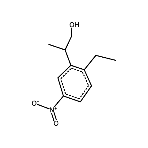 CCc1ccc([N+](=O)[O-])cc1[C](C)CO